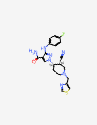 N#C[C@H]1CN(Cc2cscn2)CC[C@@H]1n1cc(C(N)=O)c(Nc2ccc(F)cc2)n1